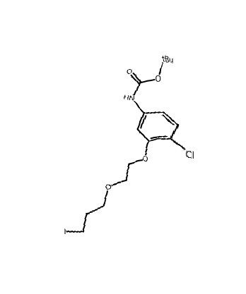 CC(C)(C)OC(=O)Nc1ccc(Cl)c(OCCOCCCI)c1